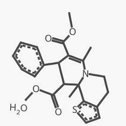 COC(=O)C1=C(C)N2CCc3ccsc3C2(C)C(C(=O)OC)C1c1ccccc1.O